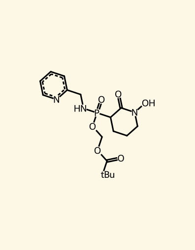 CC(C)(C)C(=O)OCOP(=O)(NCc1ccccn1)C1CCCN(O)C1=O